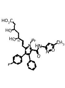 Cc1cc(NC(=O)c2c(-c3ccccc3)c(-c3ccc(F)cc3)c(C=C[C@@H](O)CC(O)CC(=O)O)n2C(C)C)no1